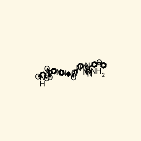 Nc1ncnc2c1c(-c1ccc(Oc3ccccc3)cc1)nn2C1CCCN(C2CN(C(=O)N3CC(N4CCN(c5ccc6c(c5)C(=O)N(C5CCC(=O)NC5=O)C6=O)CC4)C3)C2)C1